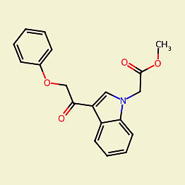 COC(=O)Cn1cc(C(=O)COc2ccccc2)c2ccccc21